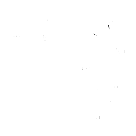 O=C(CCC/C=C\C[C@@H]1[C@@H](/C=C/[C@@H](O)CCC2=C(Cl)SC(Cl)C2)[C@H](O)C[C@@H]1O)NCCO